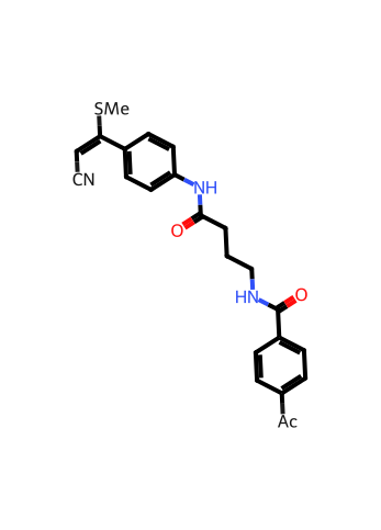 CS/C(=C/C#N)c1ccc(NC(=O)CCCNC(=O)c2ccc(C(C)=O)cc2)cc1